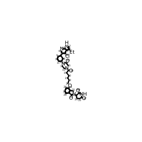 CCc1c[nH]c2ncc(-c3cccc(N4CCN(C(=O)CCCCCOc5cccc6c5CN(C5CCC(=O)NC5=O)C6=O)CC4=O)c3)c(Cl)c12